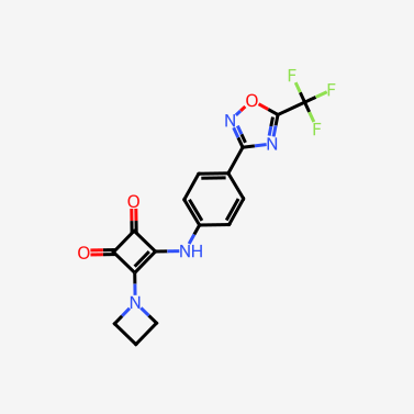 O=c1c(Nc2ccc(-c3noc(C(F)(F)F)n3)cc2)c(N2CCC2)c1=O